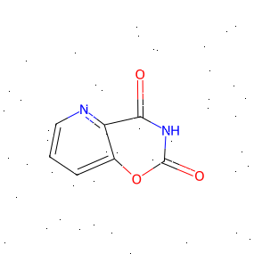 O=c1[nH]c(=O)c2ncccc2o1